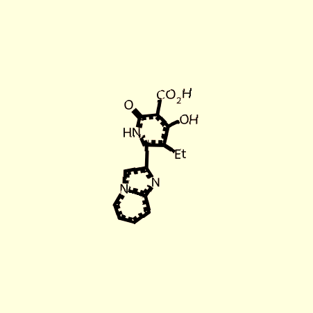 CCc1c(-c2cn3ccccc3n2)[nH]c(=O)c(C(=O)O)c1O